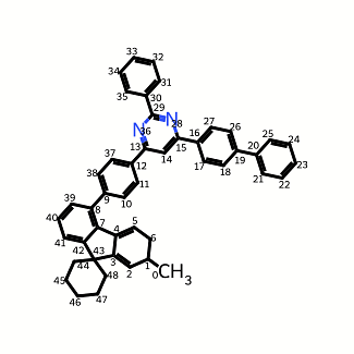 CC1C=C2C(=CC1)c1c(-c3ccc(-c4cc(-c5ccc(-c6ccccc6)cc5)nc(-c5ccccc5)n4)cc3)cccc1C21CCCCC1